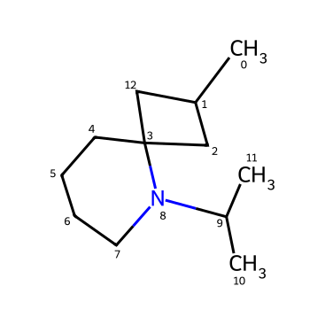 CC1CC2(CCCCN2C(C)C)C1